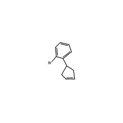 Brc1ccccc1C1CC=CC1